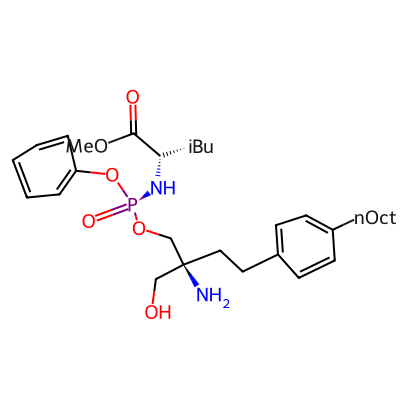 CCCCCCCCc1ccc(CC[C@](N)(CO)CO[P@@](=O)(N[C@H](C(=O)OC)[C@@H](C)CC)Oc2ccccc2)cc1